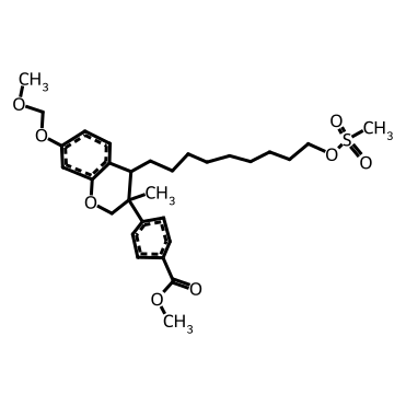 COCOc1ccc2c(c1)OCC(C)(c1ccc(C(=O)OC)cc1)C2CCCCCCCCCOS(C)(=O)=O